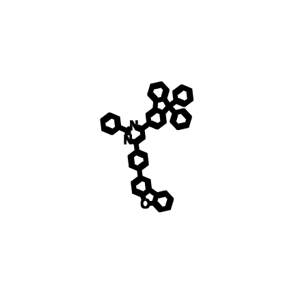 c1ccc(-c2nc(-c3ccc(-c4ccc5oc6ccccc6c5c4)cc3)cc(-c3ccc4c(c3)-c3ccccc3C4(c3ccccc3)c3ccccc3)n2)cc1